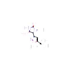 CN1C(=O)NC(O)C1c1cc(C(C)(C)C)on1